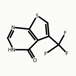 O=c1[nH]cnc2scc(C(F)(F)F)c12